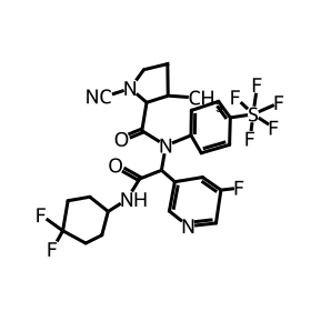 CC1CCN(C#N)C1C(=O)N(c1ccc(S(F)(F)(F)(F)F)cc1)C(C(=O)NC1CCC(F)(F)CC1)c1cncc(F)c1